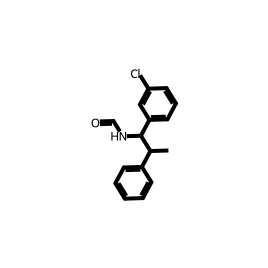 CC(c1ccccc1)C(NC=O)c1cccc(Cl)c1